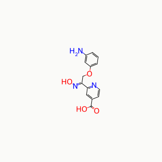 Nc1cccc(OC/C(=N\O)c2cc(C(=O)O)ccn2)c1